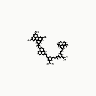 CC(C)(C)C1=CC2=CC(C(C)(C)C)=CC3c4cc(C(C)(C)C)cc5cc(C(C)(C)CC6CCc7cc(/C=C/C8=CC(=C(C#N)C#N)C=C(CCC(C)(C)C9=CC(=C(C#N)C#N)C=C(/C=C/c%10cc%11c%12c(c%10)C(C)(C)CCN%12CCC%11(C)C)O9)O8)cc8c7N6CCC8)cc(c45)C(=C1)C23